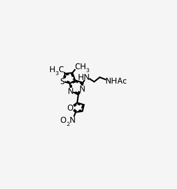 CC(=O)NCCNc1nc(-c2ccc([N+](=O)[O-])o2)nc2sc(C)c(C)c12